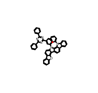 c1ccc(-c2nc(-c3ccccc3)nc(-c3cccc(-n4c5ccc6c7ccccc7oc6c5c5ccc6c7ccccc7n(-c7ccccc7)c6c54)c3)n2)cc1